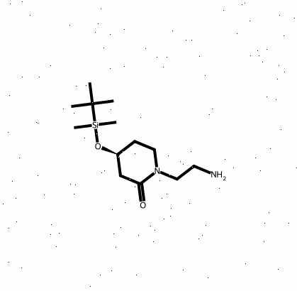 CC(C)(C)[Si](C)(C)O[C@H]1CCN(CCN)C(=O)C1